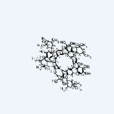 CC1CC(Oc2cc(O)c3cc2C2C4=CC(O)=C(O)C(C4)Oc4cc(OC5CC(C)CC(C)(C)C5)c(cc42)C(c2ccc(O)c(O)c2)c2cc(c(O)cc2OC2CC(C)CC(C)(C)C2)C(c2ccc(O)c(O)c2)c2cc(c(O)cc2OC2CC(C)CC(C)(C)C2)C3c2ccc(O)c(O)c2)CC(C)(C)C1